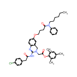 CCCCCCN(C(=O)CCCOc1ccc2c(c1)CN(CC(=O)Oc1c(C)cc(C)cc1C)C(NC(=O)Cc1ccc(Cl)cc1)=N2)c1ccccc1